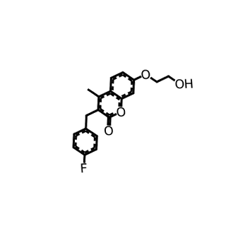 Cc1c(Cc2ccc(F)cc2)c(=O)oc2cc(OCCO)ccc12